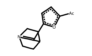 CC(=O)c1ccc(C2=CN3CCC2CC3)o1